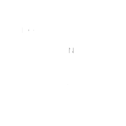 OCC1CCc2cccc3ccn1c23